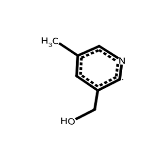 Cc1cn[c]c(CO)c1